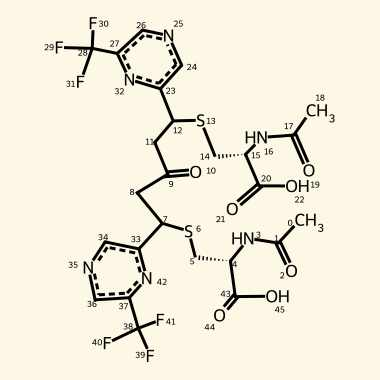 CC(=O)N[C@@H](CSC(CC(=O)CC(SC[C@H](NC(C)=O)C(=O)O)c1cncc(C(F)(F)F)n1)c1cncc(C(F)(F)F)n1)C(=O)O